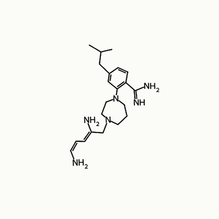 CC(C)Cc1ccc(C(=N)N)c(N2CCCN(C/C(N)=C/C=C\N)CC2)c1